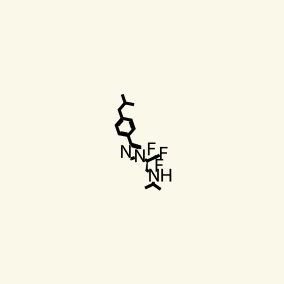 CC(C)Cc1ccc(-c2cn([C@H](CNC(C)C)C(F)(F)F)cn2)cc1